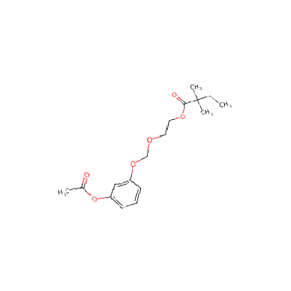 CCC(C)(C)C(=O)OCCOCOc1cccc(OC(C)=O)c1